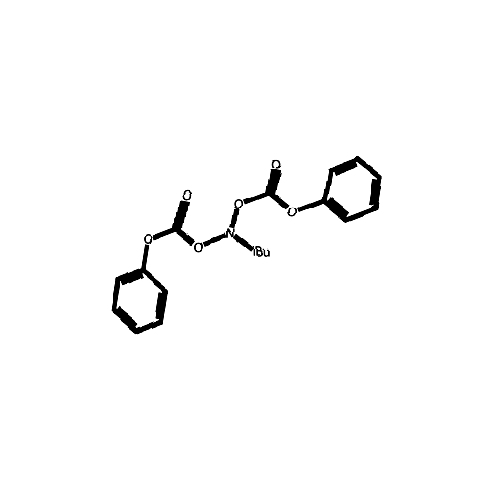 CCC(C)N(OC(=O)Oc1ccccc1)OC(=O)Oc1ccccc1